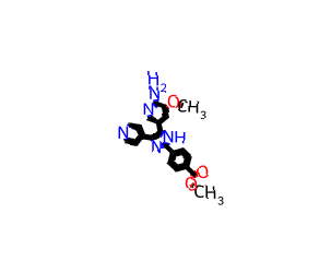 COC(=O)c1ccc(-c2nc(-c3ccncc3)c(C3C=C(OC)C(N)=NC3)[nH]2)cc1